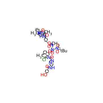 Cc1cccc2c(OC(=O)N(CCN(C)C(=O)OCc3ccc(NC(=O)[C@H](C)NC(=O)[C@H](C(C)C)N(C)C)cc3)CCN3C(=O)CC(C(C)(C)C)C3=O)cc3c(c12)[C@H](CCl)CN3C(=O)c1cn2cc(NC(=O)c3ccc(O)cc3)ccc2n1